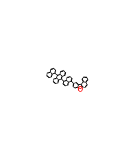 c1ccc2c(-c3c4ccccc4c(-c4cccc5c(-c6ccc7oc8ccc9ccccc9c8c7c6)cccc45)c4ccccc34)cccc2c1